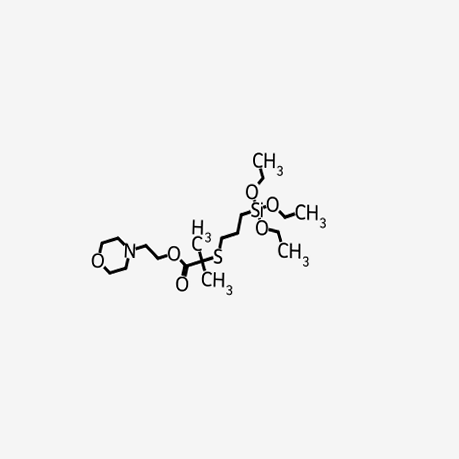 CCO[Si](CCCSC(C)(C)C(=O)OCCN1CCOCC1)(OCC)OCC